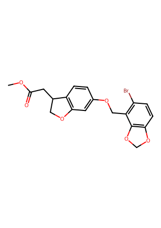 COC(=O)CC1COc2cc(OCc3c(Br)ccc4c3OCO4)ccc21